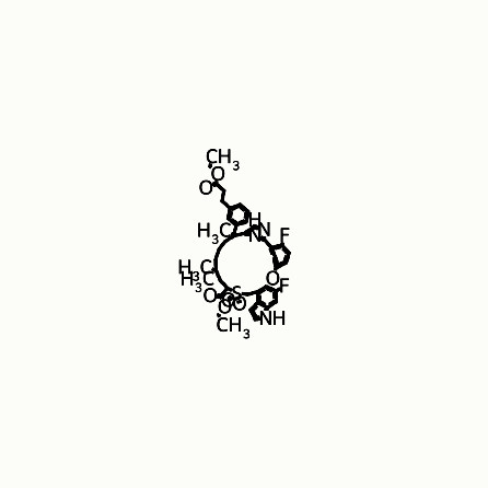 CCOC(=O)CCc1cccc(C2(C)CCCC(C)(C)CC(C(=O)OCC)S(=O)(=O)Cc3c(c(F)cc4[nH]ccc34)Oc3ccc(F)c(c3)-c3ncc2[nH]3)c1